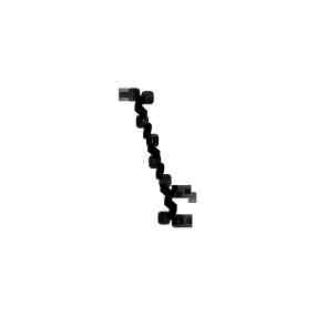 NC(CCC(=O)O)COCCOCCOCCOCCC(=O)O